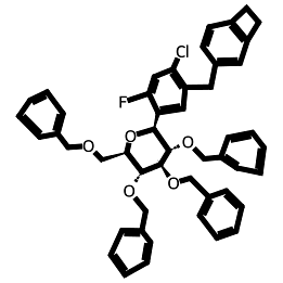 Fc1cc(Cl)c(Cc2ccc3c(c2)CC3)cc1[C@@H]1O[C@H](COCc2ccccc2)[C@@H](OCc2ccccc2)[C@H](OCc2ccccc2)[C@H]1OCc1ccccc1